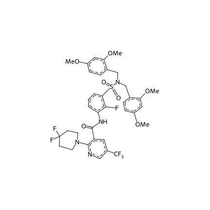 COc1ccc(CN(Cc2ccc(OC)cc2OC)S(=O)(=O)c2cccc(NC(=O)c3cc(C(F)(F)F)cnc3N3CCC(F)(F)CC3)c2F)c(OC)c1